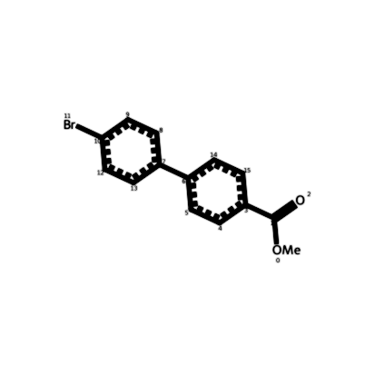 COC(=O)c1ccc(-c2ccc(Br)cc2)cc1